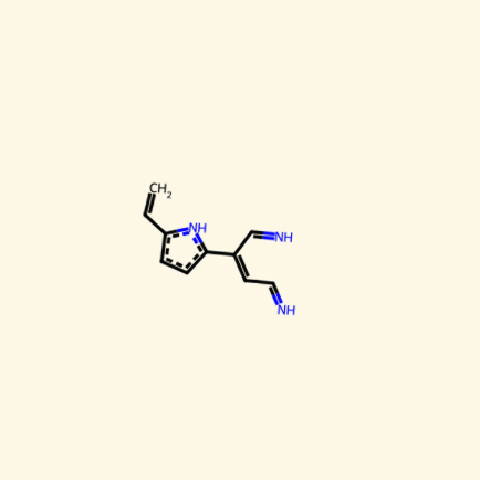 C=Cc1ccc(/C(C=N)=C/C=N)[nH]1